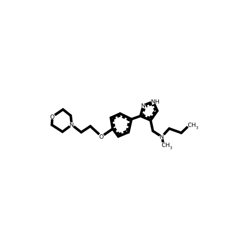 CCCN(C)Cc1c[nH]nc1-c1ccc(OCCN2CCOCC2)cc1